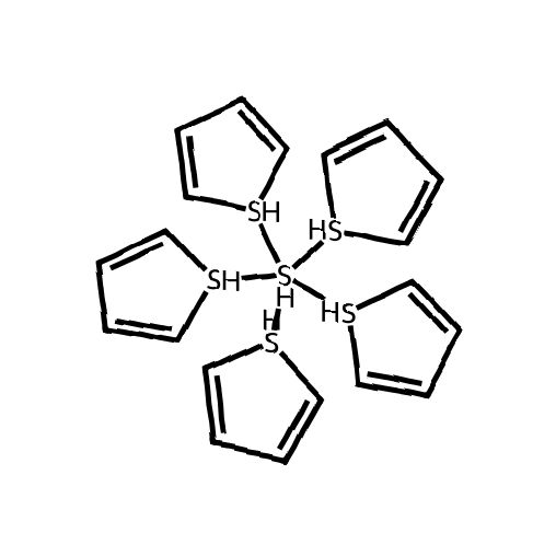 C1=C[SH]([SH]([SH]2C=CC=C2)([SH]2C=CC=C2)([SH]2C=CC=C2)[SH]2C=CC=C2)C=C1